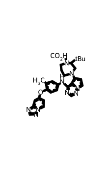 Cc1cc(Nc2ncnn3ccc(N4CCCN(C(=O)O)C(C(C)(C)C)C4)c23)ccc1Oc1ccn2ncnc2c1